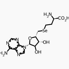 Nc1ncnc2c1ncn2[C@@H]1O[C@H](C[Se]CC[C@@H](N)C(=O)O)[C@H](O)C1O